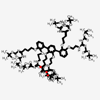 C/C(CCCOc1c(-c2cccc(OCCC/C(=N/C(=O)OC(C)(C)C)NC(=O)OC(C)(C)C)c2OCCN/C(=N\C(=O)OC(C)(C)C)NC(=O)OC(C)(C)C)ccc(-c2cccc(OCCN/C(=N\C(=O)OC(C)(C)C)NC(=O)OC(C)(C)C)c2OCCC/C(=N/C(=O)OC(C)(C)C)NC(=O)OC(C)(C)C)c1OCCN/C(C)=N/C(=O)OC(C)(C)C)=N/C(=O)OC(C)(C)C